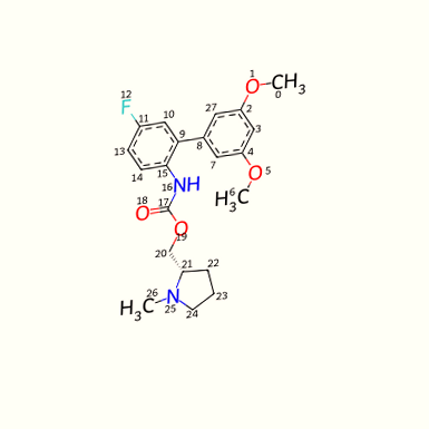 COc1cc(OC)cc(-c2cc(F)ccc2NC(=O)OC[C@@H]2CCCN2C)c1